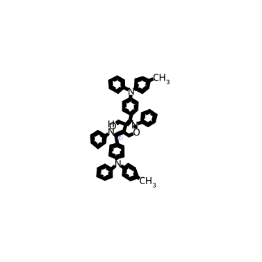 Cc1ccc(N(c2ccccc2)c2ccc(C3=C(C=O)/C(=C(\Nc4ccccc4)c4ccc(N(c5ccccc5)c5ccc(C)cc5)cc4)CON3c3ccccc3)cc2)cc1